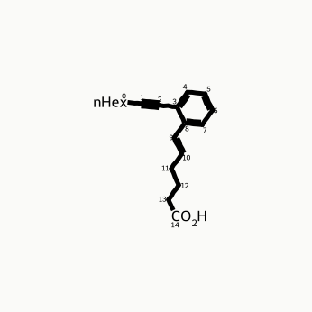 CCCCCCC#Cc1ccccc1C=CCCCC(=O)O